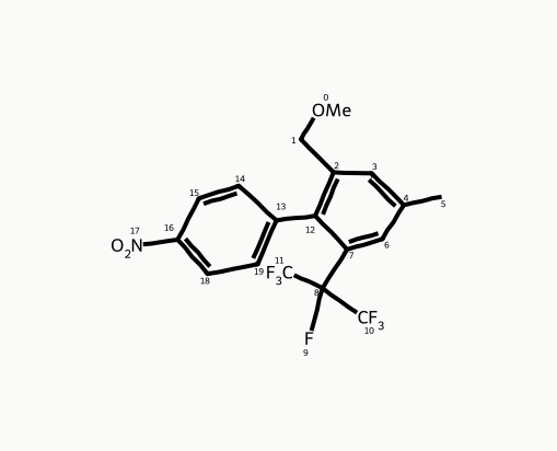 COCc1[c]c(C)cc(C(F)(C(F)(F)F)C(F)(F)F)c1-c1ccc([N+](=O)[O-])cc1